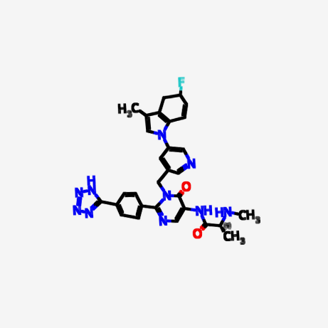 CN[C@@H](C)C(=O)Nc1cnc(-c2ccc(-c3nnn[nH]3)cc2)n(Cc2cncc(-n3cc(C)c4c3C=CC(F)C4)c2)c1=O